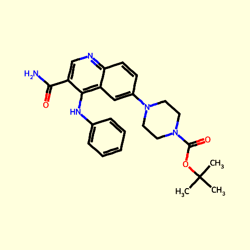 CC(C)(C)OC(=O)N1CCN(c2ccc3ncc(C(N)=O)c(Nc4ccccc4)c3c2)CC1